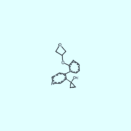 OC1(c2cnccc2-c2ccccc2OC2COC2)CC1